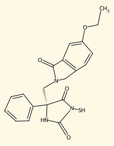 CCOc1ccc2c(c1)C(=O)N(C[C@@]1(c3ccccc3)NC(=O)N(S)C1=O)C2